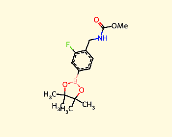 COC(=O)NCc1ccc(B2OC(C)(C)C(C)(C)O2)cc1F